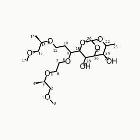 COC[C@@H](C)OCCOC(CCO[C@H](C)COC)C1OC2OC(C)C(O)C(O2)C1O